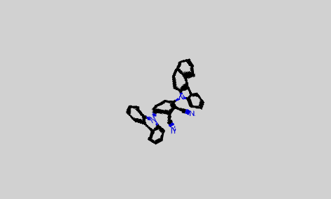 N#Cc1c(-n2c3ccccc3c3ccccc32)ccc(-n2c3ccccc3c3c4ccccc4ccc32)c1C#N